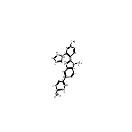 CC(C)(C)n1c(-c2ccc(C#N)cc2-n2cncn2)nc2cc(-c3cnc(N)nc3)ccc21